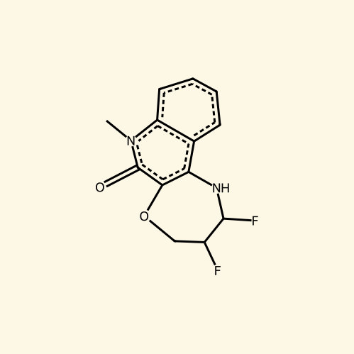 Cn1c(=O)c2c(c3ccccc31)NC(F)C(F)CO2